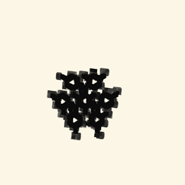 Cc1ccc(N(c2ccc(C)cc2C)c2c(C)c(N(c3ccc(C)cc3)c3ccc(C)cc3C)c(C)c(N(c3ccc(C)cc3)c3ccc(C)cc3C)c2C)cc1